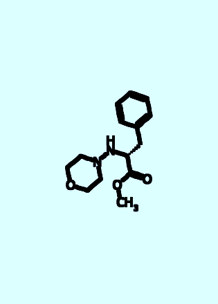 COC(=O)[C@@H](Cc1ccccc1)NN1CCOCC1